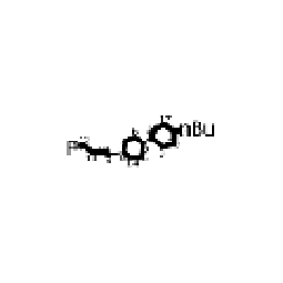 CCCCC1CCC([C@H]2CC[C@H](/C=C/CCF)CC2)CC1